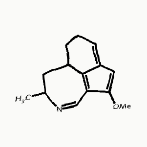 COC1=CC2=CCCC3CC(C)N=CC1=C23